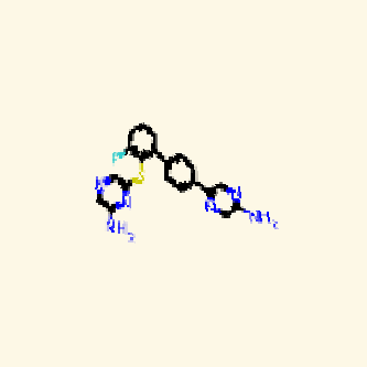 Nc1cnc(-c2ccc(-c3cccc(F)c3Sc3cncc(N)n3)cc2)cn1